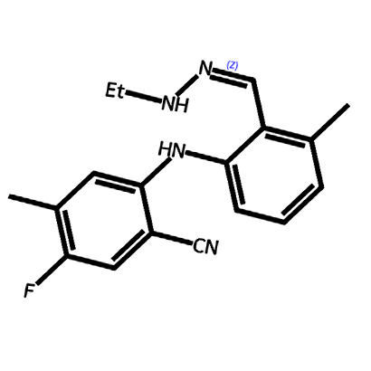 CCN/N=C\c1c(C)cccc1Nc1cc(C)c(F)cc1C#N